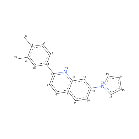 Cc1ccc(-c2ccc3ccc(-n4cccc4)cc3n2)cc1C